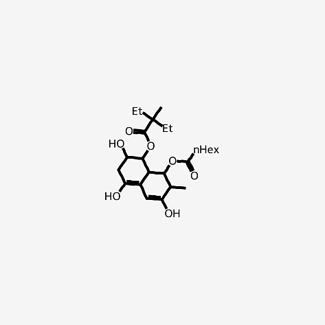 CCCCCCC(=O)OC1C(C)C(O)=CC2=C(O)CC(O)C(OC(=O)C(C)(CC)CC)C21